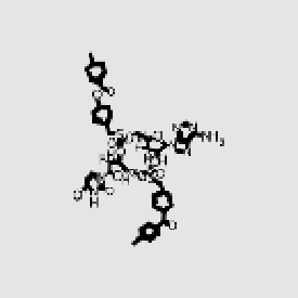 Cc1ccc(C(=O)Oc2ccc(CSP3(=O)OC[C@H]4O[C@@H](n5cnc6c(N)ncnc65)[C@H](OP(=O)(SCc5ccc(C(=O)c6ccc(C)cc6)cc5)OC[C@H]5O[C@@H](n6ccc(=O)[nH]c6=O)[C@H](F)[C@@H]5O3)[C@@H]4F)cc2)cc1